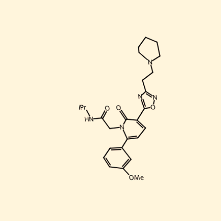 COc1cccc(-c2ccc(-c3nc(CCN4CCCCC4)no3)c(=O)n2CC(=O)NC(C)C)c1